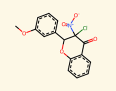 COc1cccc(C2Oc3ccccc3C(=O)C2(Cl)[N+](=O)[O-])c1